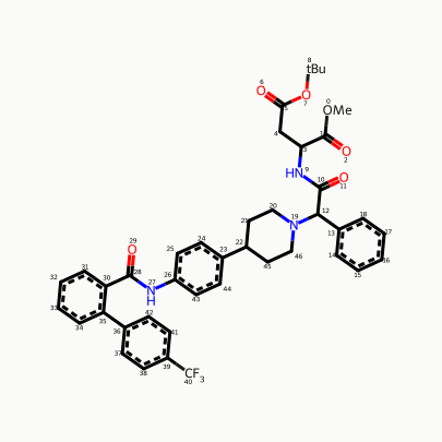 COC(=O)C(CC(=O)OC(C)(C)C)NC(=O)C(c1ccccc1)N1CCC(c2ccc(NC(=O)c3ccccc3-c3ccc(C(F)(F)F)cc3)cc2)CC1